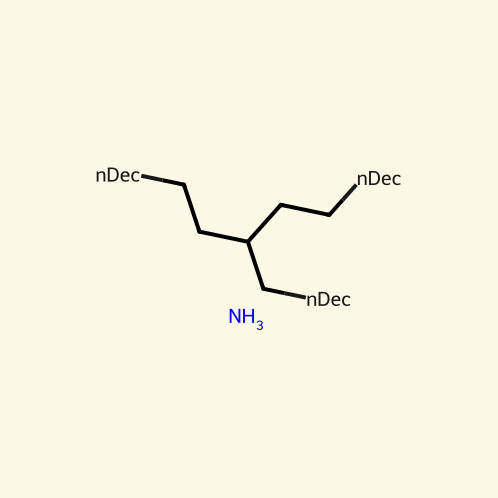 CCCCCCCCCCCCC(CCCCCCCCCCC)CCCCCCCCCCCC.N